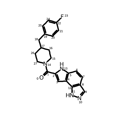 O=C(c1cc2c(ccc3cn[nH]c32)[nH]1)N1CCC(Cc2ccc(F)cc2)CC1